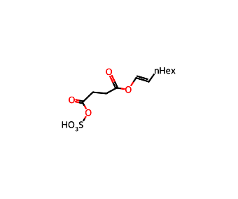 CCCCCCC=COC(=O)CCC(=O)OS(=O)(=O)O